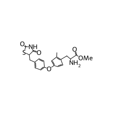 COC(=O)C(N)Cc1ccc(Oc2ccc(CC3SC(=O)NC3=O)cc2)cc1C